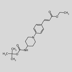 CCOC(=O)/C=C/c1ccc(N2CCC(NC(=O)OC(C)(C)C)CC2)cc1